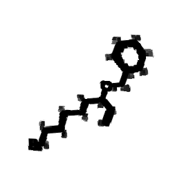 C=CC(CCCCCBr)OCc1ccccc1